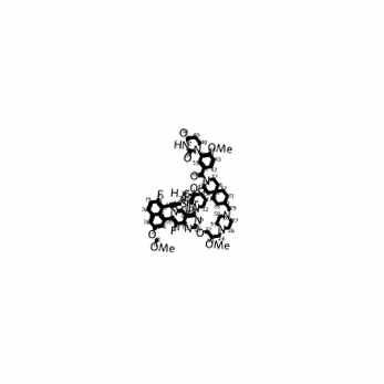 COCOc1cc(-c2ncc3c(N4CCC[C@@](C)(O)C4)nc(OC[C@@H](CN4CCN(CC5CCC6(CC5)CCN(C(=O)c5ccc(OC)c(N7CCC(=O)NC7=O)c5)CC6)CC4)OC)nc3c2F)c2c(C#C[Si](C(C)C)(C(C)C)C(C)C)c(F)ccc2c1